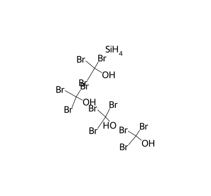 OC(Br)(Br)Br.OC(Br)(Br)Br.OC(Br)(Br)Br.OC(Br)(Br)Br.[SiH4]